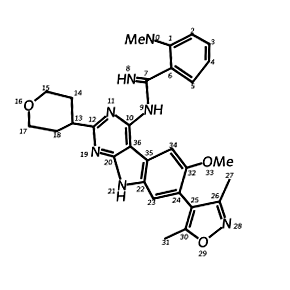 CNc1ccccc1C(=N)Nc1nc(C2CCOCC2)nc2[nH]c3cc(-c4c(C)noc4C)c(OC)cc3c12